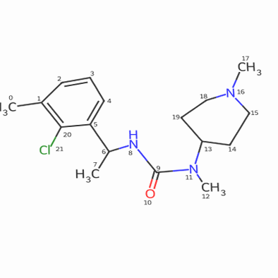 Cc1cccc(C(C)NC(=O)N(C)C2CCN(C)CC2)c1Cl